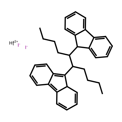 CCCCC(C1=c2ccccc2=C2C=CC=CC21)C(CCCC)C1c2ccccc2-c2ccccc21.[Hf+2].[I-].[I-]